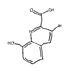 O=C(O)c1nc2c(O)cccc2cc1Br